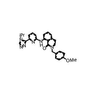 COc1ccc(Cn2ccc3cccc(Nc4cccc(-c5nncn5C(C)C)n4)c3c2=O)cc1